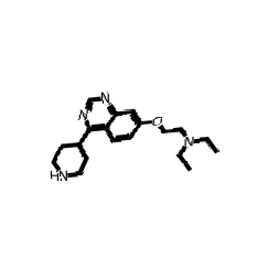 CCN(CC)CCOc1ccc2c(C3CCNCC3)ncnc2c1